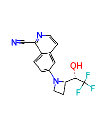 N#Cc1nccc2cc(N3CCC3[C@H](O)C(F)(F)F)ccc12